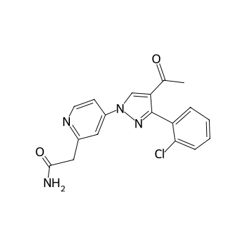 CC(=O)c1cn(-c2ccnc(CC(N)=O)c2)nc1-c1ccccc1Cl